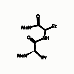 CCC(NC(=O)[C@@H](NC)C(C)C)C(=O)NC